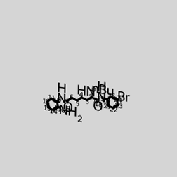 CCCCNC(CCCCC(=O)Nc1ccccc1N)C(=O)Nc1cccc(Br)c1